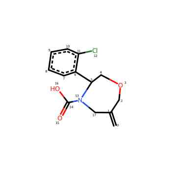 C=C1COCC(c2ccccc2Cl)N(C(=O)O)C1